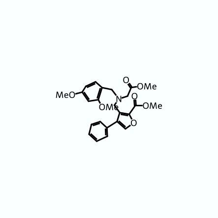 COC(=O)CN(Cc1ccc(OC)cc1OC)Cc1c(-c2ccccc2)coc1C(=O)OC